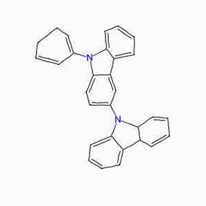 C1=CC2c3ccccc3N(c3ccc4c(c3)c3ccccc3n4C3=CCCC=C3)C2C=C1